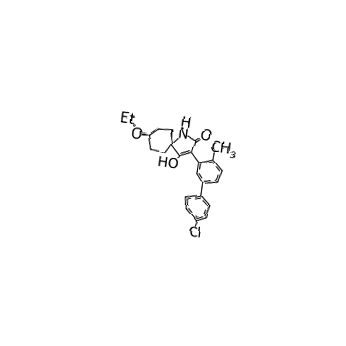 CCO[C@H]1CC[C@@]2(CC1)NC(=O)C(c1cc(-c3ccc(Cl)cc3)ccc1C)=C2O